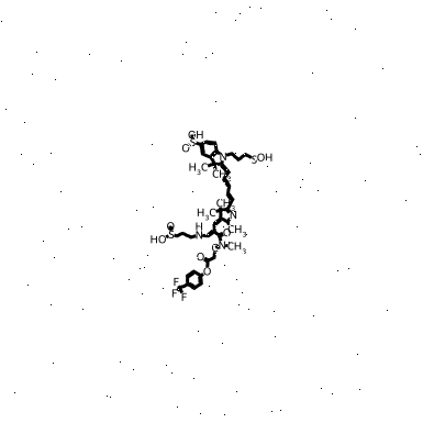 CC1N=C(/C=C/C=C/C=C2/N(CCCSO)c3ccc(S(=O)O)cc3C2(C)C)C(C)(C)/C1=C/C(=C\NCCCS(=O)O)C(=O)N(C)OCC(=O)Oc1ccc(C(F)(F)F)cc1